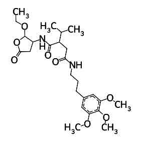 CCOC1OC(=O)CC1NC(=O)C(CC(=O)NCCCc1cc(OC)c(OC)c(OC)c1)C(C)C